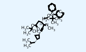 CN=C(C#C[C@H]1C[C@@H](CC(C)C)C1)[C@@H](CCO[Si](c1ccccc1)(c1ccccc1)C(C)(C)C)CC(=O)OC(C)(C)C